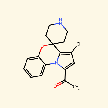 Cc1cc(C(=O)C(F)(F)F)n2c1C1(CCNCC1)Oc1ccccc1-2